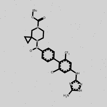 CC(C)(C)OC(=O)N1CCN([S+]([O-])c2ccc(-c3c(Cl)cc(Nc4n[nH]c(N)n4)cc3C(F)(F)F)cc2)C2(CC2)C1